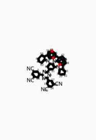 N#Cc1cc(C#N)cc(-c2nc(-c3cc(C#N)cc(C#N)c3)nc(-c3cc(-n4c5ccccc5c5ccccc54)c(-n4c5ccccc5c5ccccc54)c(-n4c5ccccc5c5ccccc54)c3)n2)c1